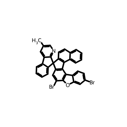 Cc1cnc2c(c1)-c1ccccc1C21c2ccc3ccccc3c2-c2c1cc(Br)c1oc3cc(Br)ccc3c21